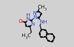 CCc1cc(=O)[nH]c(-n2nc(C)cc2NCc2ccc3ccccc3c2)n1